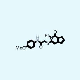 CCn1c(SCC(=O)Nc2ccc(OC)cc2)cc2c(c1=O)CC=C2